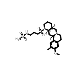 COc1cc2c(cc1C)[C@@H]1C[C@@H]3[C@@H](CCCN3S(=O)(=O)CCCNS(N)(=O)=O)CN1CC2